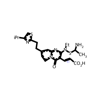 CCN(SC(C)N)c1nc2cc(CCc3nc(C(C)C)cs3)ccn2c(=O)c1/C=C/C(=O)O